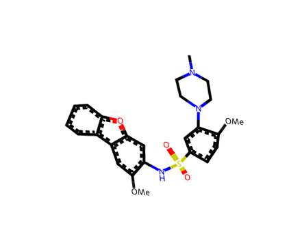 COc1cc2c(cc1NS(=O)(=O)c1ccc(OC)c(N3CCN(C)CC3)c1)oc1ccccc12